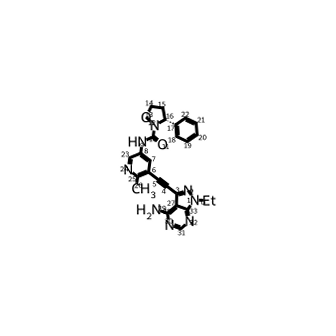 CCn1nc(C#Cc2cc(NC(=O)N3OCC[C@@H]3c3ccccc3)cnc2C)c2c(N)ncnc21